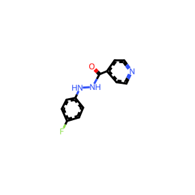 O=C(NNc1ccc(F)cc1)c1ccncc1